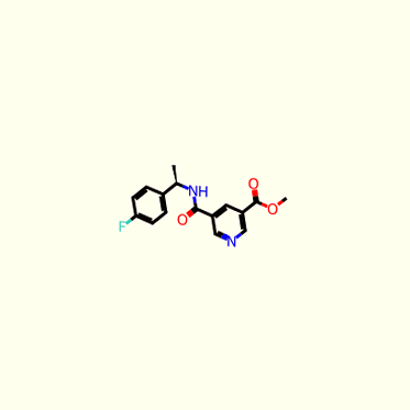 COC(=O)c1cncc(C(=O)N[C@H](C)c2ccc(F)cc2)c1